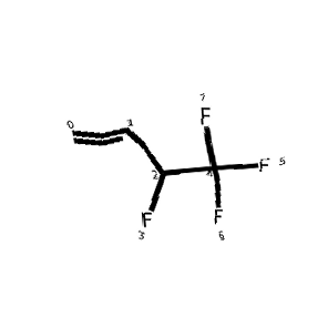 C=CC(F)C(F)(F)F